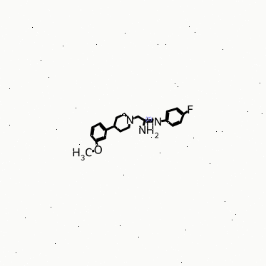 COc1cccc(C2CCN(C/C(N)=C/Nc3ccc(F)cc3)CC2)c1